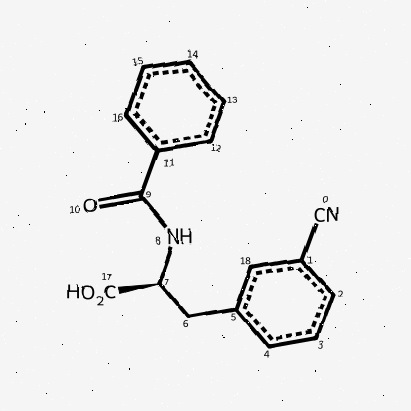 N#Cc1cccc(C[C@H](NC(=O)c2ccccc2)C(=O)O)c1